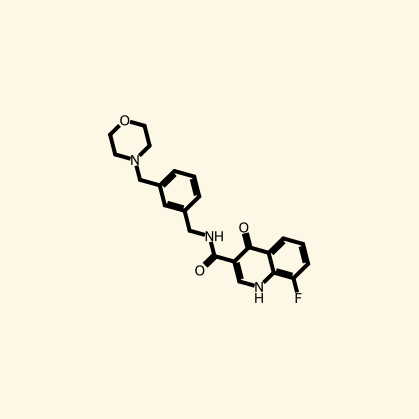 O=C(NCc1cccc(CN2CCOCC2)c1)c1c[nH]c2c(F)cccc2c1=O